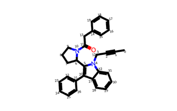 CC#CCn1c(C2CCCN2C(=O)Cc2ccccc2)c(-c2ccccc2)c2ccccc21